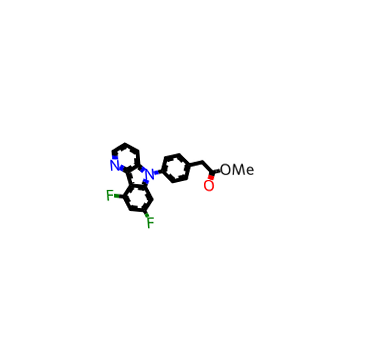 COC(=O)Cc1ccc(-n2c3cccnc3c3c(F)cc(F)cc32)cc1